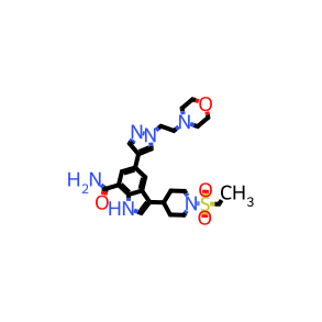 CCS(=O)(=O)N1CCC(c2c[nH]c3c(C(N)=O)cc(-c4cnn(CCN5CCOCC5)c4)cc23)CC1